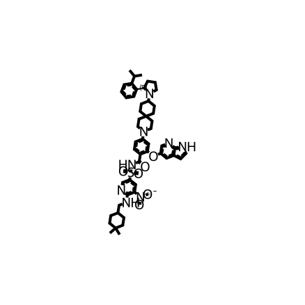 CC(C)c1ccccc1[C@H]1CCCN1C1CCC2(CC1)CCN(c1ccc(C(=O)NS(=O)(=O)c3cnc(NCC4CCC(C)(C)CC4)c([N+](=O)[O-])c3)c(Oc3cnc4[nH]ccc4c3)c1)CC2